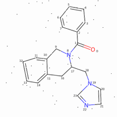 O=C(c1ccccc1)N1Cc2ccccc2CC1Cn1ccnc1